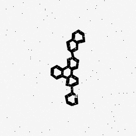 c1ccc(-c2ccc3c4ccc(-c5ccc6ccccc6c5)cc4c4ccccc4c3c2)nc1